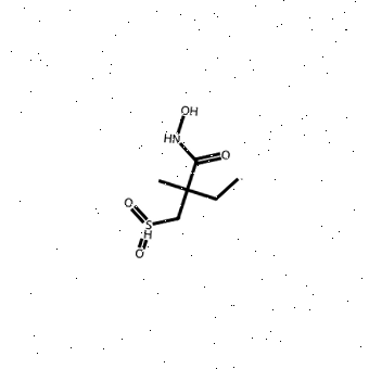 [CH2]CC(C)(C[SH](=O)=O)C(=O)NO